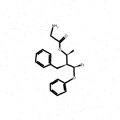 CC[C@@H](Oc1ccccc1)[C@@H](Cc1ccccc1)[C@H](C)OC(=O)CN